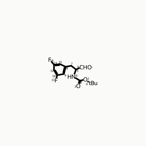 CC(C)(C)OC(=O)NC([C]=O)Cc1cc(F)cc(F)c1